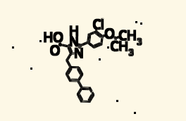 CC(C)Oc1ccc(-c2nc(Cc3ccc(-c4ccccc4)cc3)c(C(=O)O)[nH]2)cc1Cl